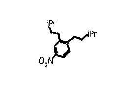 CC(C)CCc1ccc([N+](=O)[O-])cc1CCC(C)C